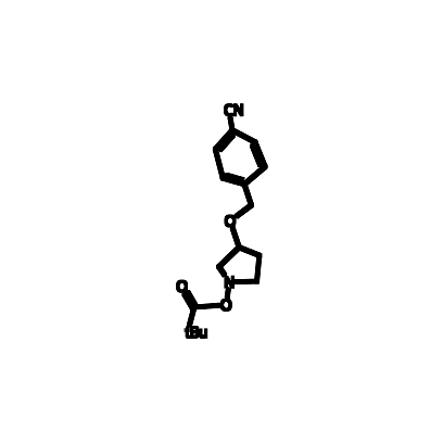 CC(C)(C)C(=O)ON1CCC(OCc2ccc(C#N)cc2)C1